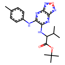 Cc1ccc(Nc2nc3nonc3nc2NC(C(=O)OC(C)(C)C)C(C)C)cc1